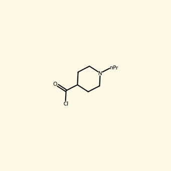 CCCN1CCC(C(=O)Cl)CC1